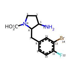 NC1CCN(C(=O)O)C1Cc1ccc(F)c(Br)c1